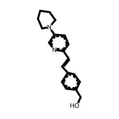 OCc1ccc(C=Cc2ccc(N3CCCCC3)cn2)cc1